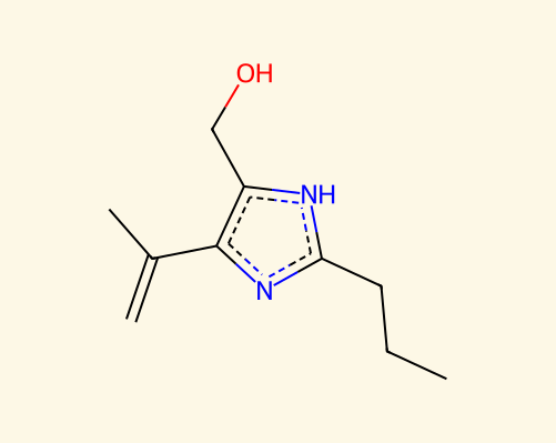 C=C(C)c1nc(CCC)[nH]c1CO